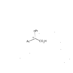 CCC[C@@H](C(C)=O)C(=O)O